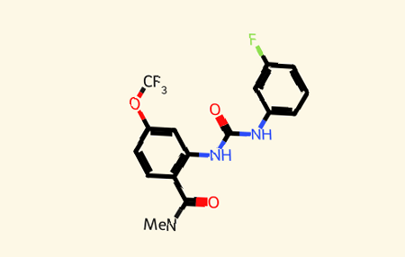 CNC(=O)c1ccc(OC(F)(F)F)cc1NC(=O)Nc1cccc(F)c1